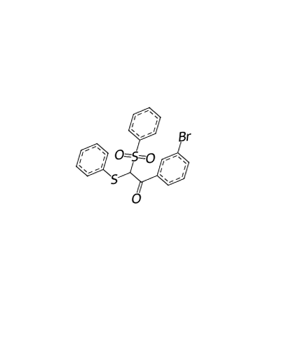 O=C(c1cccc(Br)c1)C(Sc1ccccc1)S(=O)(=O)c1ccccc1